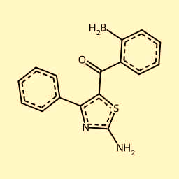 Bc1ccccc1C(=O)c1sc(N)nc1-c1ccccc1